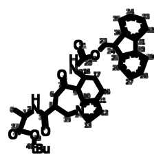 CC(NC(=O)C1CC(=O)C2c3c(ccn3C1)CCC2NC(=O)OCC1c2ccccc2-c2ccccc21)C(=O)OC(C)(C)C